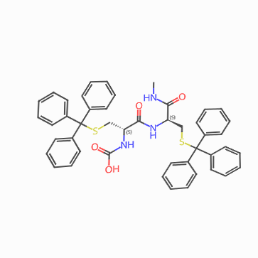 CNC(=O)[C@@H](CSC(c1ccccc1)(c1ccccc1)c1ccccc1)NC(=O)[C@@H](CSC(c1ccccc1)(c1ccccc1)c1ccccc1)NC(=O)O